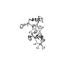 CCn1nc(Cl)c(CS(=O)(=O)C2=NOC(C)(C)C2)c1C1CC1